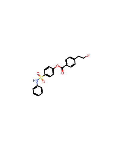 O=C(Oc1ccc(S(=O)(=O)Nc2ccccc2)cc1)c1ccc(CCBr)cc1